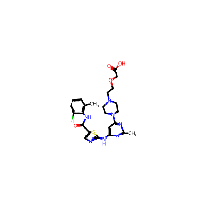 Cc1nc(Nc2ncc(C(=O)Nc3c(C)cccc3Cl)s2)cc(N2CCN(CCOCC(=O)O)CC2)n1